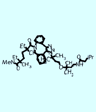 CCC(C)(CCC(C)(CC)C(=O)N1Cc2ccccc2-c2c(nnn2C(C)(C)CCOC(C)(C)CCNC(=O)CC(C)C)-c2ccccc21)C(=O)NC